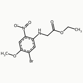 CCOC(=O)CNc1cc(Br)c(OC)cc1[N+](=O)[O-]